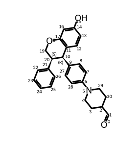 O=CC1CCN(c2ccc([C@@H]3c4ccc(O)cc4OC[C@@H]3c3ccccc3)cc2)CC1